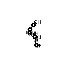 Oc1ccc(-c2ccc3ncnc(Nc4ccc(OCc5cccc(F)c5)c(Cl)c4)c3c2)cc1